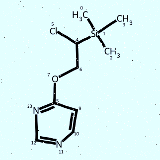 C[Si](C)(C)C(Cl)COc1ccncn1